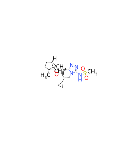 CC1(C)[C@@H]2CC[C@]1(C)[C@H](Oc1cc3nnc(NS(C)(=O)=O)n3cc1C1CC1)C2